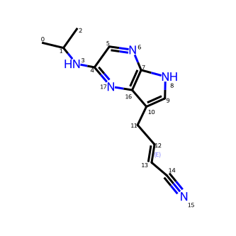 CC(C)Nc1cnc2[nH]cc(C/C=C/C#N)c2n1